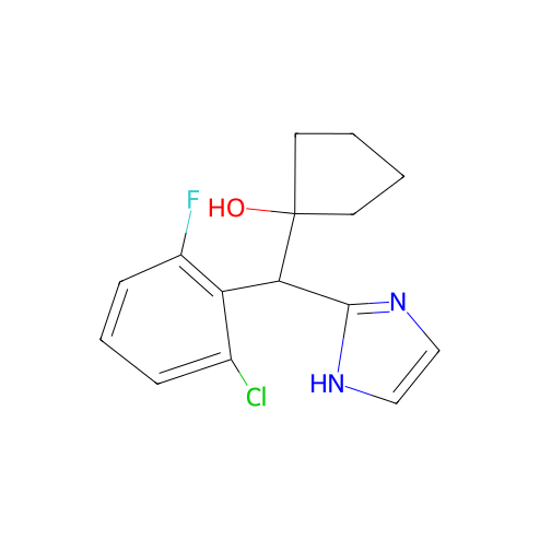 OC1(C(c2ncc[nH]2)c2c(F)cccc2Cl)CCCC1